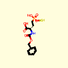 O=C(N[C@@H](CCP(=O)(O)OS)C(=O)O)OCc1ccccc1